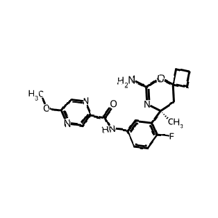 COc1cnc(C(=O)Nc2ccc(F)c([C@]3(C)CC4(CCC4)OC(N)=N3)c2)cn1